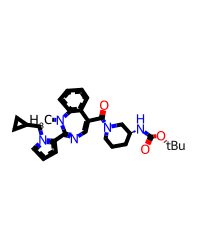 CN1C(c2cccn2CC2CC2)=NC=C(C(=O)N2CCC[C@@H](NC(=O)OC(C)(C)C)C2)c2ccccc21